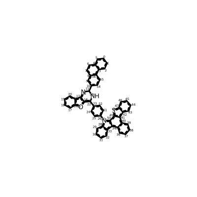 c1ccc2c(c1)ccc1cc(C3N=c4c(oc5ccccc45)=C(c4ccc(-n5c6ccccc6c6c7ccccc7c7c8ccccc8sc7c65)cc4)N3)ccc12